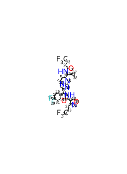 O=C(CCC(F)(F)F)N[C@H](c1ccn2cc([C@@H](NC(=O)c3conc3CCC(F)(F)F)C3CCC(F)(F)CC3)nc2n1)C1CC1